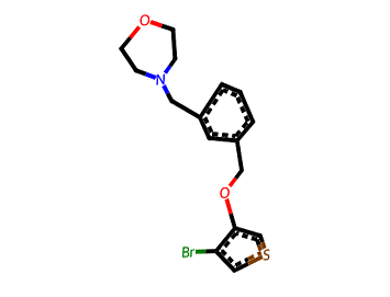 Brc1cscc1OCc1cccc(CN2CCOCC2)c1